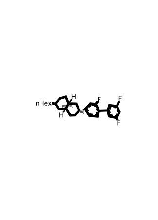 CCCCCCC1CC[C@@H]2C[C@H](c3ccc(-c4cc(F)cc(F)c4)c(F)c3)CC[C@@H]2C1